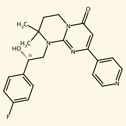 CC1(C)CCn2c(nc(-c3ccncc3)cc2=O)N1C[C@@H](O)c1ccc(F)cc1